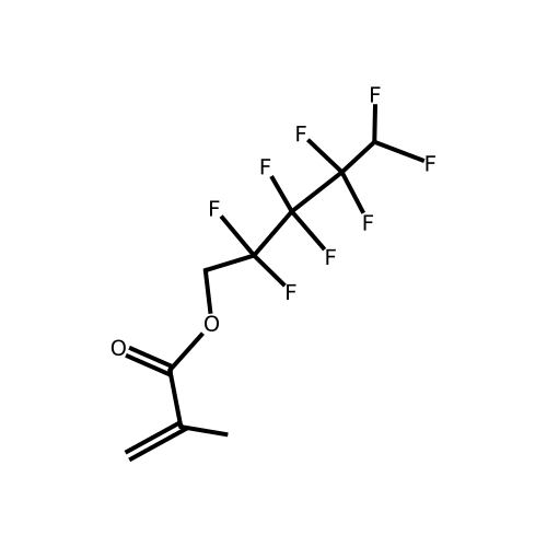 C=C(C)C(=O)OCC(F)(F)C(F)(F)C(F)(F)C(F)F